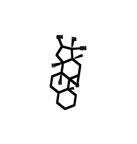 CC[C@@]1(O)C(O)C[C@H]2[C@@H]3CCC4CCCC[C@]4(C)C34OC4C[C@@]21C